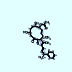 CC(=O)O[C@H]1/C=C/[C@H](C)[C@@H](/C(C)=C/C=C/[C@H](C)c2ccccn2)C(=O)C(=O)C[C@@H](O)CC[C@H]1C